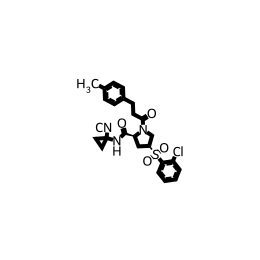 Cc1ccc(CCC(=O)N2C[C@H](S(=O)(=O)c3ccccc3Cl)C[C@H]2C(=O)NC2(C#N)CC2)cc1